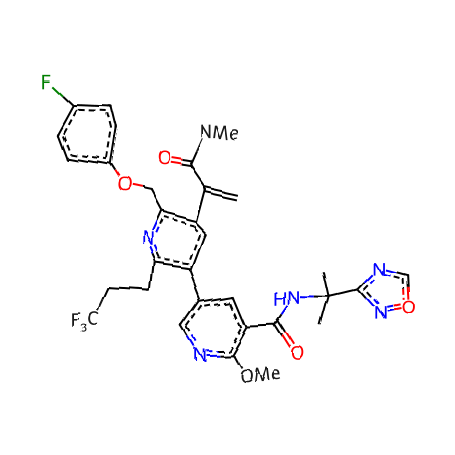 C=C(C(=O)NC)c1cc(-c2cnc(OC)c(C(=O)NC(C)(C)c3ncon3)c2)c(CCC(F)(F)F)nc1COc1ccc(F)cc1